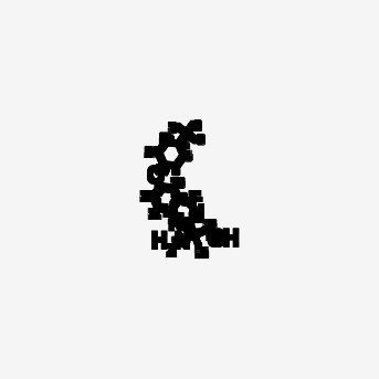 CC(C)(C)C1CCC(Oc2ccc3nc([C@@](C)(N)CO)ncc3c2)CC1